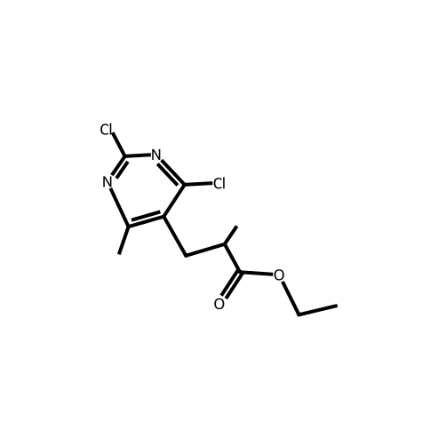 CCOC(=O)C(C)Cc1c(C)nc(Cl)nc1Cl